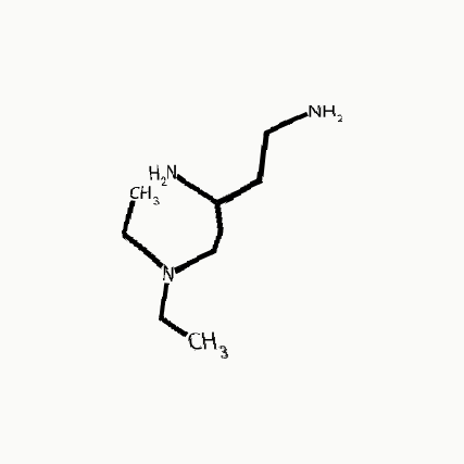 CCN(CC)CC(N)CCN